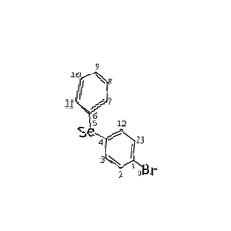 Brc1ccc([Se]c2ccccc2)cc1